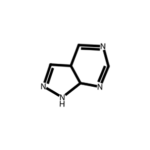 C1=NC=NC2NN=CC12